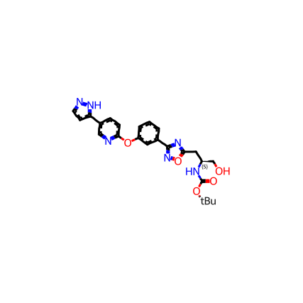 CC(C)(C)OC(=O)N[C@H](CO)Cc1nc(-c2cccc(Oc3ccc(-c4ccn[nH]4)cn3)c2)no1